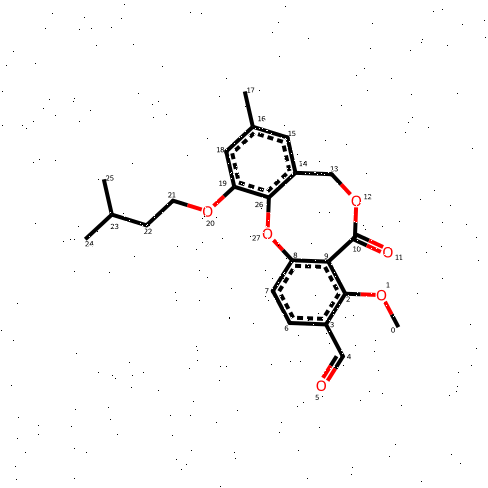 COc1c(C=O)ccc2c1C(=O)OCc1cc(C)cc(OCCC(C)C)c1O2